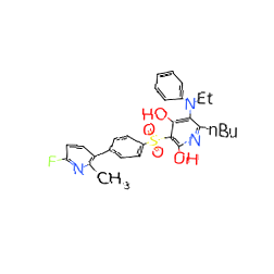 CCCCc1nc(O)c(S(=O)(=O)c2ccc(-c3ccc(F)nc3C)cc2)c(O)c1N(CC)c1ccccc1